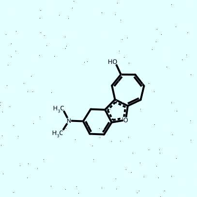 CN(C)C1=CC=c2oc3c(c2C1)C=C(O)C=CC=3